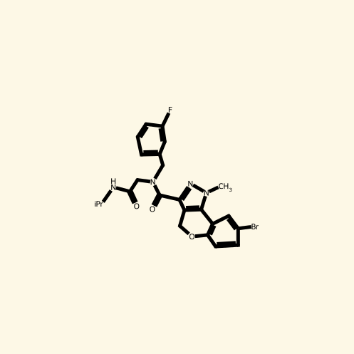 CC(C)NC(=O)CN(Cc1cccc(F)c1)C(=O)c1nn(C)c2c1COc1ccc(Br)cc1-2